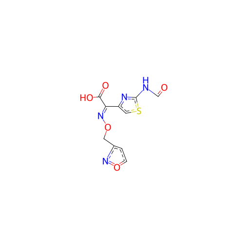 O=CNc1nc(/C(=N\OCc2ccon2)C(=O)O)cs1